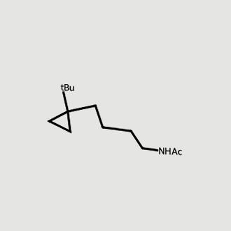 CC(=O)NCCCCC1(C(C)(C)C)CC1